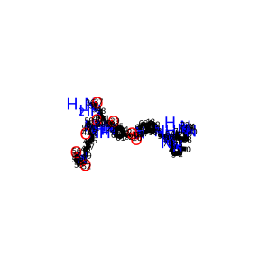 Cc1cccc(-c2nc(CNc3ccc4c(c3)CN(C(=O)OCc3ccc(NC(=O)[C@H](CCCNC(N)=O)NC(=O)C(NC(=O)CCCCCN5C(=O)C=CC5=O)C(C)C)cc3)CC4)[nH]c2-c2ccc3ncnn3c2)n1